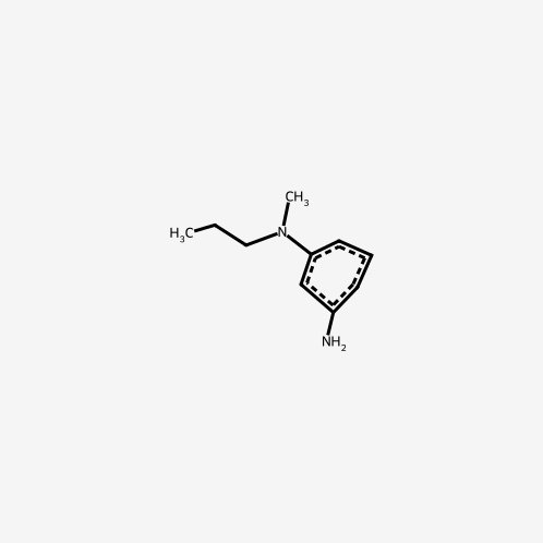 CCCN(C)c1cccc(N)c1